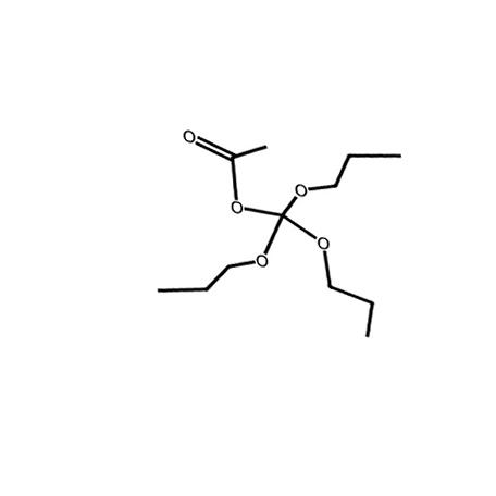 CCCOC(OCCC)(OCCC)OC(C)=O